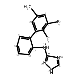 Cc1cc(Br)c(F)c(-c2ccccc2Nc2nc[nH]n2)c1